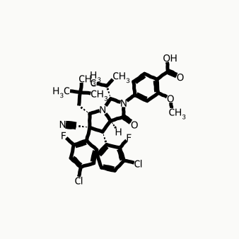 COc1cc(N2C(=O)[C@H]3[C@H](c4cccc(Cl)c4F)[C@@](C#N)(c4ccc(Cl)cc4F)[C@H](CC(C)(C)C)N3[C@@H]2C(C)C)ccc1C(=O)O